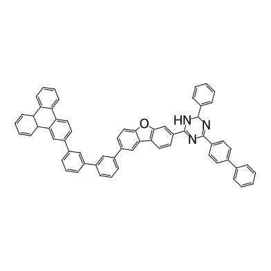 C1=CC2c3ccccc3-c3ccc(-c4cccc(-c5cccc(-c6ccc7oc8cc(C9=NC(c%10ccc(-c%11ccccc%11)cc%10)=NC(c%10ccccc%10)N9)ccc8c7c6)c5)c4)cc3C2C=C1